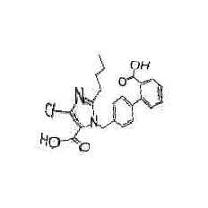 CCCCc1nc(Cl)c(C(=O)O)n1Cc1ccc(-c2ccccc2C(=O)O)cc1